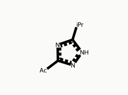 CC(=O)c1n[nH]c(C(C)C)n1